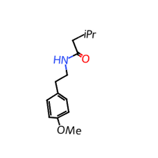 COc1ccc(CCNC(=O)CC(C)C)cc1